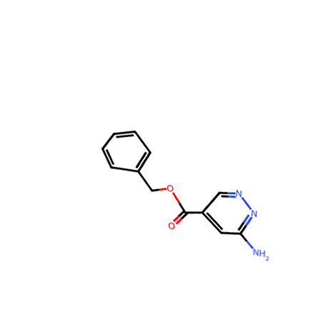 Nc1cc(C(=O)OCc2ccccc2)cnn1